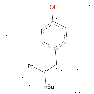 CCCCC(Cc1ccc(O)cc1)C(C)C